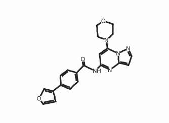 O=C(Nc1cc(N2CCOCC2)n2nccc2n1)c1ccc(-c2ccoc2)cc1